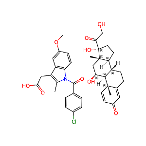 COc1ccc2c(c1)c(CC(=O)O)c(C)n2C(=O)c1ccc(Cl)cc1.C[C@]12C=CC(=O)C=C1CC[C@@H]1[C@@H]2[C@@H](O)C[C@@]2(C)[C@H]1CC[C@]2(O)C(=O)CO